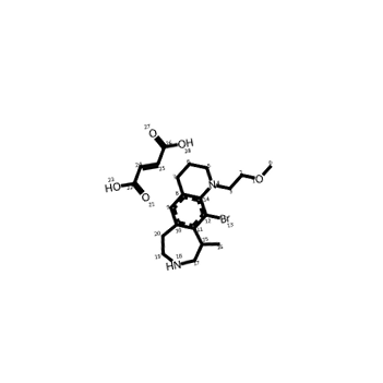 COCCN1CCCc2cc3c(c(Br)c21)C(C)CNCC3.O=C(O)/C=C/C(=O)O